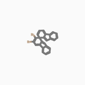 BrC1=C(Br)C2(C=CC=C3C2=Cc2ccccc23)C2=Cc3ccccc3C2=C1